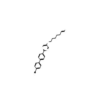 C/C=C/CCCCCOc1cnc(-c2ccc(-c3ccc(C#N)cc3)cc2)nc1